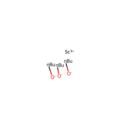 CCCC[O-].CCCC[O-].CCCC[O-].[Sc+3]